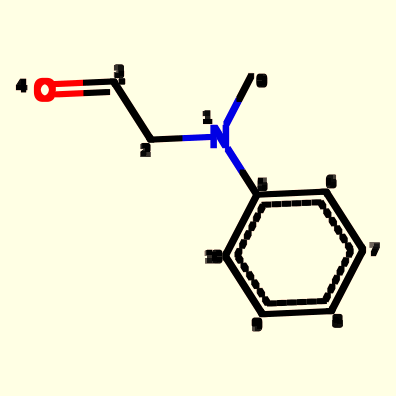 CN(C[C]=O)c1ccccc1